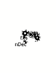 CCCCCCCCCCCCOC(=O)c1cccc(NC(=O)NS(=O)(=O)c2ccccc2C)c1